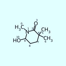 CN1C(=O)C(C)(C)CCC1O